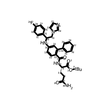 CC(C)(C)OC(=O)[C@H](CCC(N)=O)NC(=O)c1ccc(NC(Cn2ccnc2)c2ccc(F)cc2)cc1-c1ccccc1